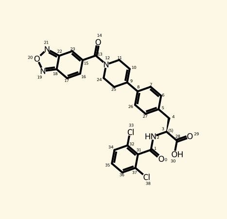 O=C(N[C@@H](Cc1ccc(C2=CCN(C(=O)c3ccc4nonc4c3)CC2)cc1)C(=O)O)c1c(Cl)cccc1Cl